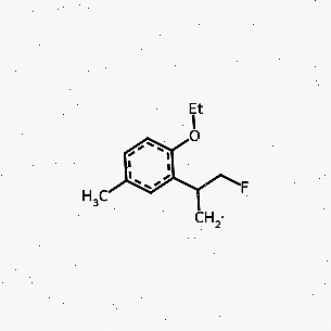 [CH2]C(CF)c1cc(C)ccc1OCC